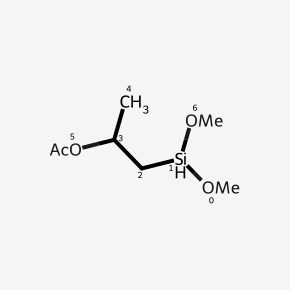 CO[SiH](CC(C)OC(C)=O)OC